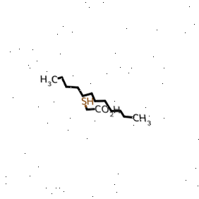 CCCCCCCCCCCC.O=C(O)CS